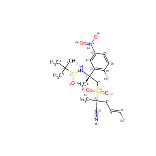 CC(C)(C)[S+]([O-])N[C@@](C)(CS(=O)(=O)C(C)(C#N)CC=CF)c1cc([N+](=O)[O-])ccc1F